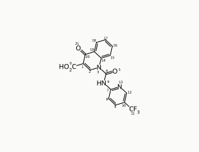 O=C(O)c1cn(C(=O)Nc2ccc(C(F)(F)F)cn2)c2ccccc2c1=O